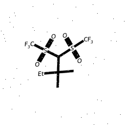 CCC(C)(C)C(S(=O)(=O)C(F)(F)F)S(=O)(=O)C(F)(F)F